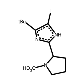 CC(C)(C)c1nc(C2CCCN2C(=O)O)[nH]c1I